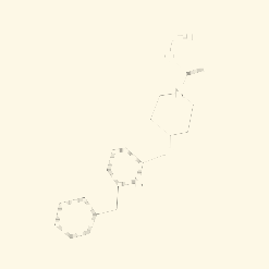 CC(C)(C)OC(=O)N1CCC(Oc2cccc(Cc3ccccc3)n2)CC1